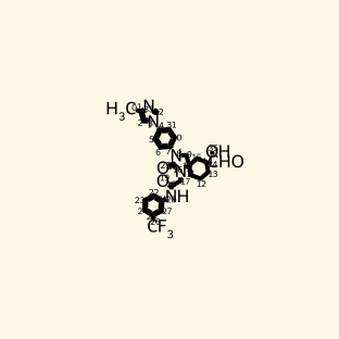 Cc1cn(-c2ccc(N3CC4(CCCCC4)N(CC(=O)Nc4cccc(C(F)(F)F)c4)C3=O)cc2)cn1.O=CO